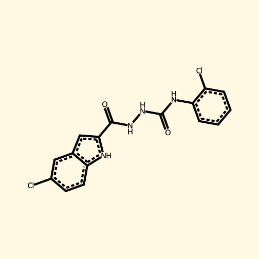 O=C(NNC(=O)c1cc2cc(Cl)ccc2[nH]1)Nc1ccccc1Cl